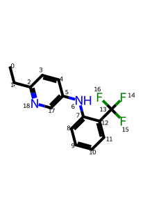 C[CH]c1ccc(Nc2ccccc2C(F)(F)F)cn1